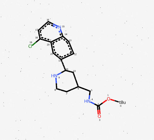 CC(C)(C)OC(=O)NCC1CCNC(c2ccc3nccc(Cl)c3c2)C1